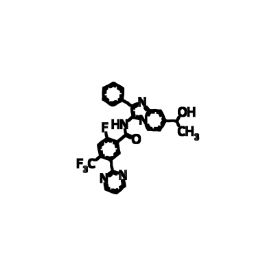 CC(O)c1ccn2c(NC(=O)c3cc(-c4ncccn4)c(C(F)(F)F)cc3F)c(-c3ccccc3)nc2c1